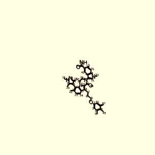 Cc1cc(OCCCc2c3n(c4c(-c5c(C)nn(C)c5C)c(C)ccc24)[C@H](C)CN(c2cn(C)c4ccc(C(N)=O)cc24)C3=O)cc(C)c1C